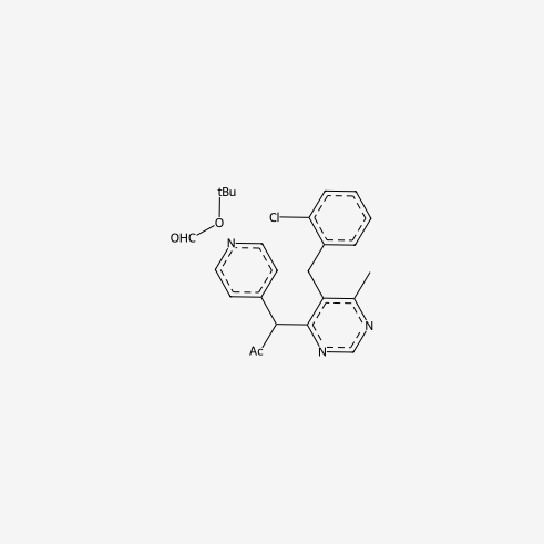 CC(=O)C(c1ccncc1)c1ncnc(C)c1Cc1ccccc1Cl.CC(C)(C)OC=O